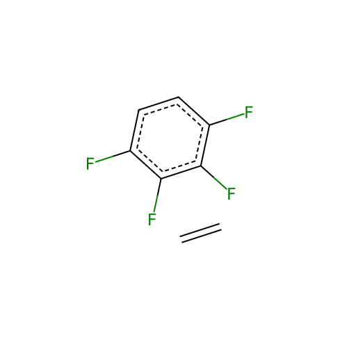 C=C.Fc1ccc(F)c(F)c1F